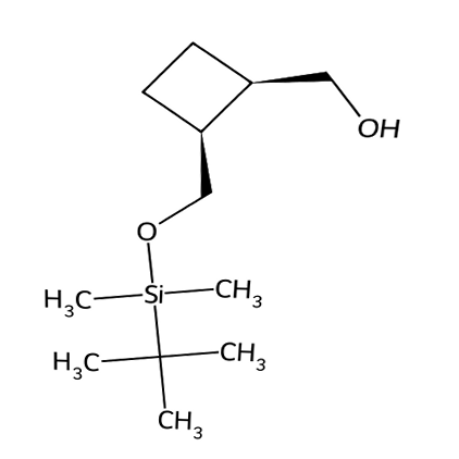 CC(C)(C)[Si](C)(C)OC[C@H]1CC[C@H]1CO